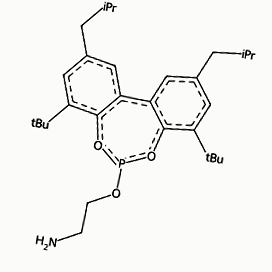 CC(C)Cc1cc(C(C)(C)C)c2op(OCCN)oc3c(C(C)(C)C)cc(CC(C)C)cc3c2c1